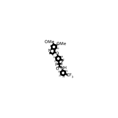 COc1cc2nccc(Oc3ccc(C(F)(F)C(=O)Nc4cccc(C(F)(F)F)c4)c(F)c3)c2cc1OC